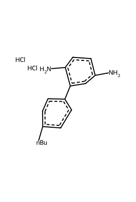 CCCCc1ccc(-c2cc(N)ccc2N)cc1.Cl.Cl